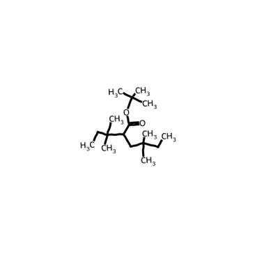 CCC(C)(C)CC(C(=O)OC(C)(C)C)C(C)(C)CC